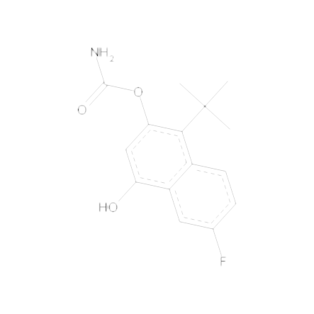 CC(C)(C)c1c(OC(N)=O)cc(O)c2cc(F)ccc12